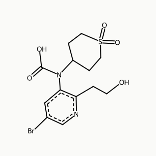 O=C(O)N(c1cc(Br)cnc1CCO)C1CCS(=O)(=O)CC1